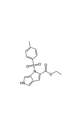 CCOC(=O)c1cc2c[nH]cc2n1S(=O)(=O)c1ccc(C)cc1